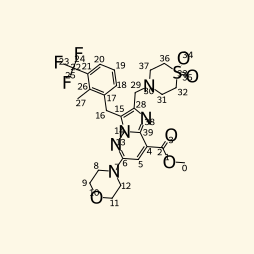 COC(=O)c1cc(N2CCOCC2)nn2c(Cc3cccc(C(F)(F)F)c3C)c(CN3CCS(=O)(=O)CC3)nc12